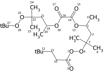 CC(CC(C)(C)OOC(=O)CCC(C)(C)C)OC(=O)C(=O)OC(C)CC(C)(C)OOC(C)(C)C